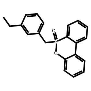 CCc1cccc(CP2(=O)Oc3ccccc3-c3ccccc32)c1